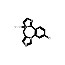 O=C([O-])[N+]12C=CN=C1c1ccc(Cl)cc1-n1cncc1C2